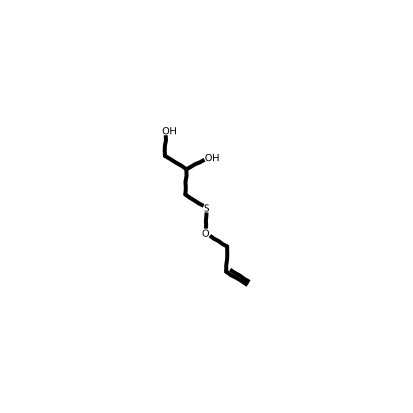 C=CCOSCC(O)CO